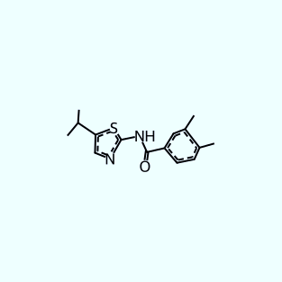 Cc1ccc(C(=O)Nc2ncc(C(C)C)s2)cc1C